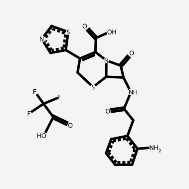 Nc1ccccc1CC(=O)NC1C(=O)N2C(C(=O)O)=C(c3cncs3)CSC12.O=C(O)C(F)(F)F